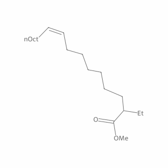 CCCCCCCC/C=C\CCCCCCC(CC)C(=O)OC